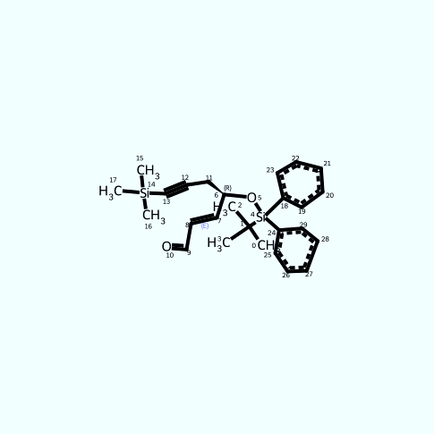 CC(C)(C)[Si](O[C@@H](/C=C/C=O)CC#C[Si](C)(C)C)(c1ccccc1)c1ccccc1